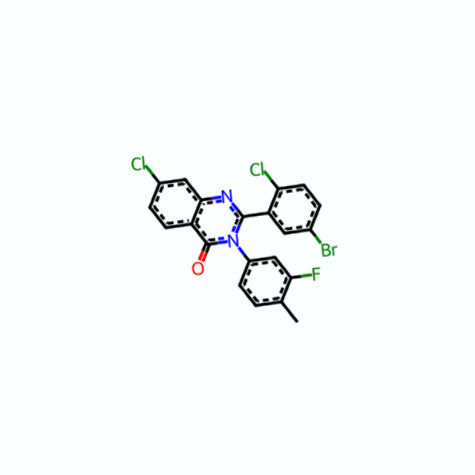 Cc1ccc(-n2c(-c3cc(Br)ccc3Cl)nc3cc(Cl)ccc3c2=O)cc1F